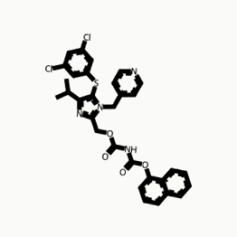 CC(C)c1nc(COC(=O)NC(=O)Oc2cccc3ccccc23)n(Cc2ccncc2)c1Sc1cc(Cl)cc(Cl)c1